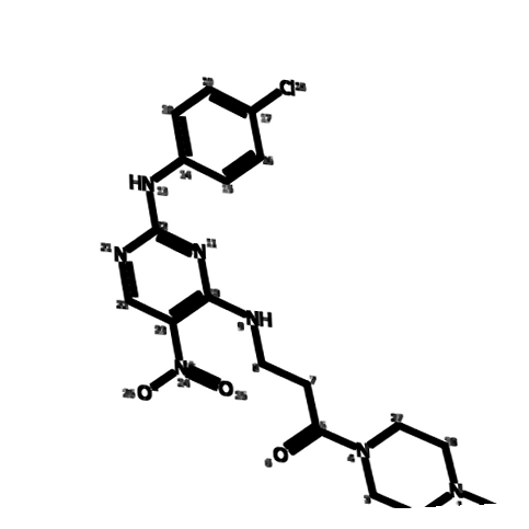 CN1CCN(C(=O)CCNc2nc(Nc3ccc(Cl)cc3)ncc2[N+](=O)[O-])CC1